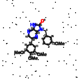 COc1cccc(Cn2c(=O)[nH]c3ncc(-c4cc(OC)c(OC)c(OC)c4)nc32)c1